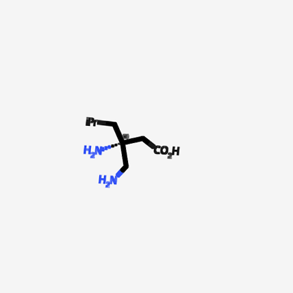 CC(C)C[C@](N)(CN)CC(=O)O